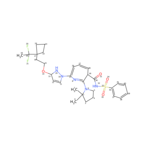 CC1(C)CCCN1C1=NC(N2C=CC(OCCC3(C(C)(F)F)CCC3)N2)=CC=CC1C(=O)NS(=O)(=O)c1ccccc1